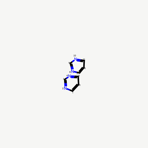 c1cncnc1.c1cncnc1